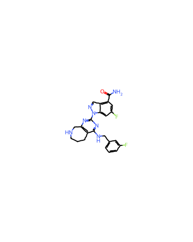 NC(=O)c1cc(F)cc2c1cnn2-c1nc2c(c(NCc3cccc(F)c3)n1)CCCNC2